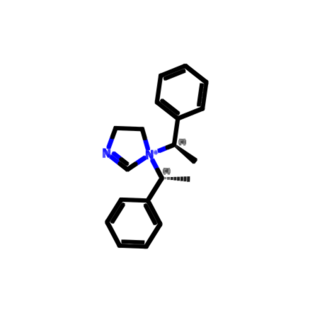 C[C@H](c1ccccc1)[N+]1([C@H](C)c2ccccc2)C=NCC1